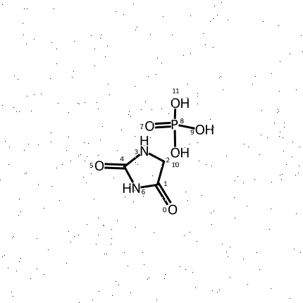 O=C1CNC(=O)N1.O=P(O)(O)O